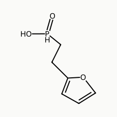 O=[PH](O)CCc1ccco1